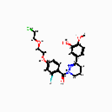 COc1ccc(C2=NN(C(=O)c3ccc(OCCOCCCl)cc3F)CCC2)cc1O